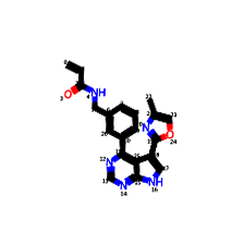 C=CC(=O)NCc1cccc(-c2ncnc3[nH]cc(-c4nc(C)co4)c23)c1